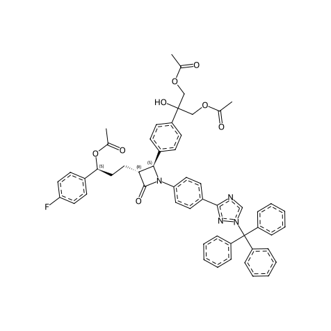 CC(=O)OCC(O)(COC(C)=O)c1ccc([C@@H]2[C@@H](CC[C@H](OC(C)=O)c3ccc(F)cc3)C(=O)N2c2ccc(-c3ncn(C(c4ccccc4)(c4ccccc4)c4ccccc4)n3)cc2)cc1